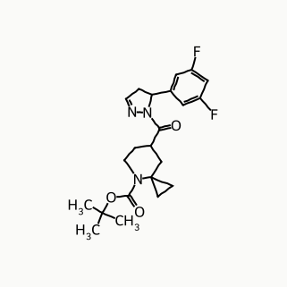 CC(C)(C)OC(=O)N1CCC(C(=O)N2N=CCC2c2cc(F)cc(F)c2)CC12CC2